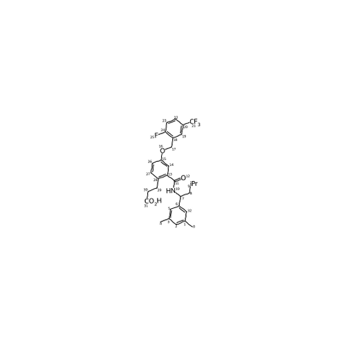 Cc1cc(C)cc(C(CC(C)C)NC(=O)c2cc(OCc3cc(C(F)(F)F)ccc3F)ccc2CCC(=O)O)c1